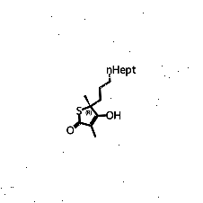 CCCCCCCCCC[C@@]1(C)SC(=O)C(C)=C1O